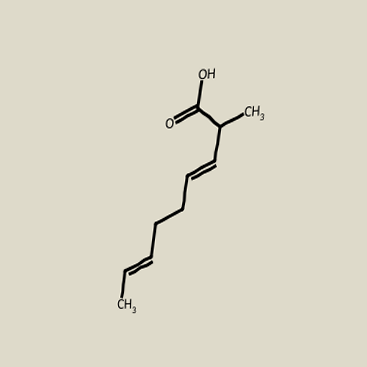 CC=CCCC=CC(C)C(=O)O